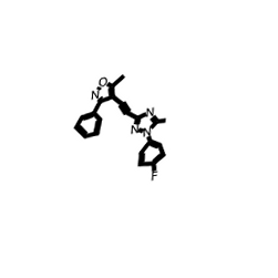 Cc1onc(-c2ccccc2)c1C#Cc1nc(C)n(-c2ccc(F)cc2)n1